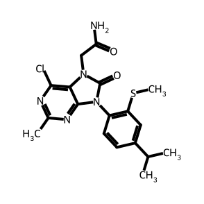 CSc1cc(C(C)C)ccc1-n1c(=O)n(CC(N)=O)c2c(Cl)nc(C)nc21